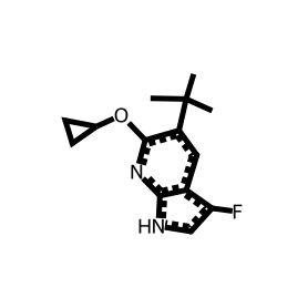 CC(C)(C)c1cc2c(F)c[nH]c2nc1OC1CC1